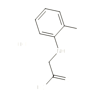 Cl.O=C(O)CNc1ccccc1F